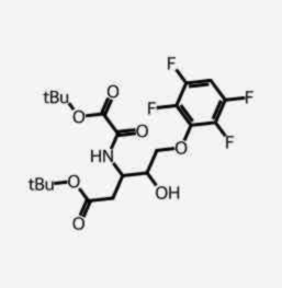 CC(C)(C)OC(=O)CC(NC(=O)C(=O)OC(C)(C)C)C(O)COc1c(F)c(F)cc(F)c1F